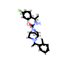 Cc1ccccc1C(C)N1CC2CC1CN2C(=O)NC(C)c1ccc(F)cc1